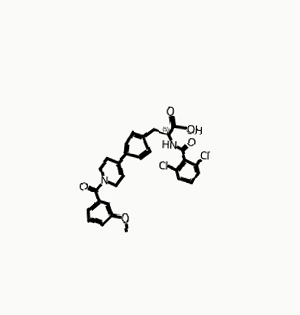 COc1cccc(C(=O)N2CC=C(c3ccc(C[C@H](NC(=O)c4c(Cl)cccc4Cl)C(=O)O)cc3)CC2)c1